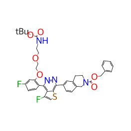 CC(C)(C)OC(=O)NCCOCCOc1cc(F)ccc1-c1nnc(-c2ccc3c(c2)CCN(C(=O)OCc2ccccc2)C3)c2scc(F)c12